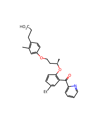 CCc1ccc(O[C@H](C)CCOc2ccc(CCC(=O)O)c(C)c2)c(C(=O)c2ccccn2)c1